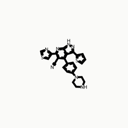 N#Cc1c(-c2cscn2)nc2[nH]nc(-c3cccs3)c2c1-c1ccc(N2CCNCC2)cc1